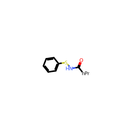 CCCC(=O)NSc1ccccc1